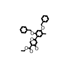 CCOC(=O)c1coc(-c2cc(C)c(OCc3ccccc3)cc2OCc2ccccc2)cc1=O